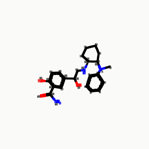 CN(c1ccccc1)[C@@H]1CCCC[C@H]1NCC(O)c1ccc(O)c(C(N)=O)c1